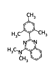 Cc1cc(C)c(-c2nc(N(C)C)c3ccccc3n2)c(C)c1